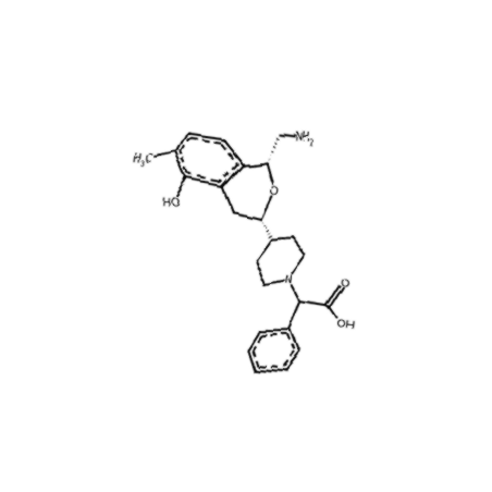 Cc1ccc2c(c1O)C[C@@H](C1CCN(C(C(=O)O)c3ccccc3)CC1)O[C@H]2CN